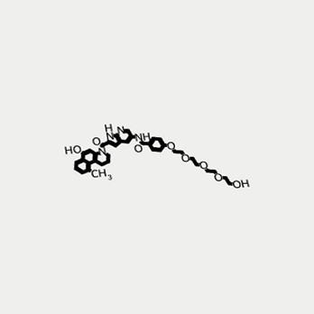 Cc1cccc2c(O)cc3c(c12)CCCN3C(=O)c1cc2cc(NC(=O)c3ccc(OCCOCCOCCOCCO)cc3)cnc2[nH]1